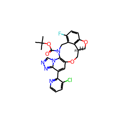 CC(C)(C)OC(=O)N1Cc2c(F)ccc3c2[C@H](CO3)COc2cc(-c3ncccc3Cl)c3nncn3c21